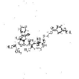 C=C([C@H](C)CC1CC[C@@H]2O[C@@H](CCCOC(=O)c3ccc(OC)cc3)C[C@]2(CI)O1)[C@H](O)CC1O[C@H](C[C@H](C)CC)[C@H](C)[C@H]1CS(=O)(=O)c1ccccc1